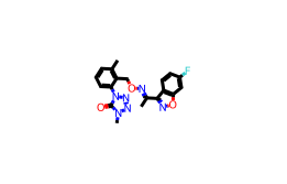 CC(=NOCc1c(C)cccc1-n1nnn(C)c1=O)c1noc2cc(F)ccc12